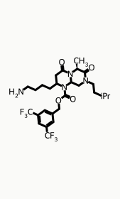 CC(C)CCN1CC2N(C(=O)OCc3cc(C(F)(F)F)cc(C(F)(F)F)c3)C(CCCCN)CC(=O)N2[C@@H](C)C1=O